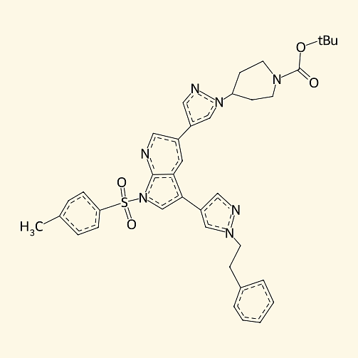 Cc1ccc(S(=O)(=O)n2cc(-c3cnn(CCc4ccccc4)c3)c3cc(-c4cnn(C5CCN(C(=O)OC(C)(C)C)CC5)c4)cnc32)cc1